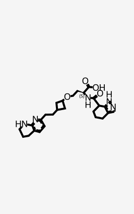 O=C(N[C@@H](CCOC1CC(CCc2ccc3c(n2)NCCC3)C1)C(=O)O)C1CCCc2cn[nH]c21